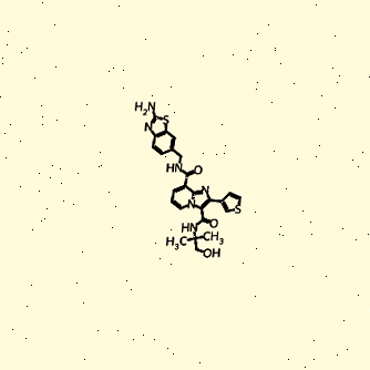 CC(C)(CO)NC(=O)c1c(-c2ccsc2)nc2c(C(=O)NCc3ccc4nc(N)sc4c3)cccn12